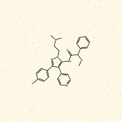 COC(C(=O)Nc1c(-c2ccncc2)c(-c2ccc(F)cc2)nn1CCN(C)C)c1ccccc1